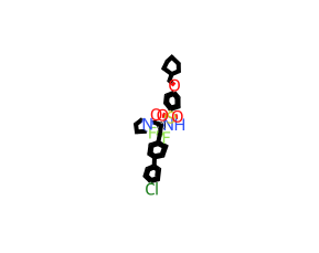 O=C([C@@H](NS(=O)(=O)c1ccc(OCC2CCCCC2)cc1)C(F)(F)c1ccc(-c2ccc(Cl)cc2)cc1)N1CCCC1